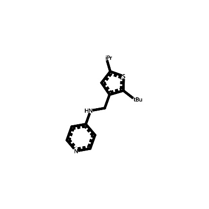 CC(C)c1cc(CNc2ccncc2)c(C(C)(C)C)s1